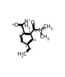 C=Cc1ccc(C(N)=O)c(C(=O)N(C)C)c1